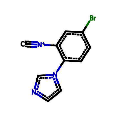 [C-]#[N+]c1cc(Br)ccc1-n1ccnc1